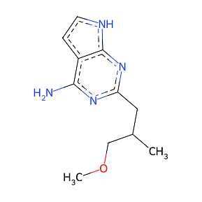 COCC(C)Cc1nc(N)c2cc[nH]c2n1